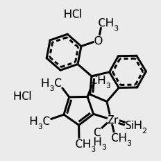 COc1ccccc1C1=C[CH]([Zr]([CH3])([CH3])(=[SiH2])[C]2=C(C)C(C)=C(C)C2C)c2ccccc21.Cl.Cl